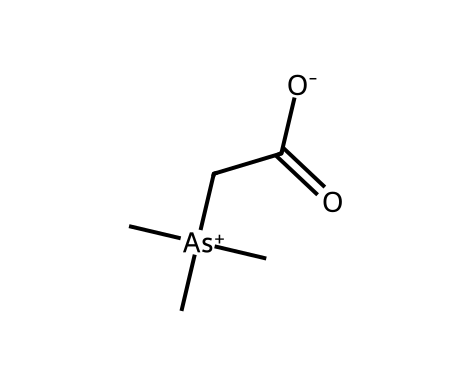 C[As+](C)(C)CC(=O)[O-]